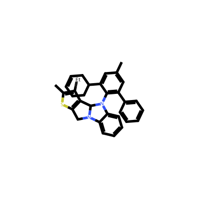 CCc1c(C)sc2c1C1N(C2)c2ccccc2N1c1c(-c2ccccc2)cc(C)cc1C1CC=CCC1